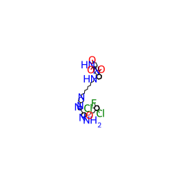 Nc1ncc(-c2cnn(C3CCN(CCCCCCCCNc4cccc5c4CN([C@@H]4CCC(=O)NC4=O)C5=O)CC3)c2)cc1OCCc1c(Cl)ccc(F)c1Cl